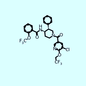 O=C(N[C@@H]1CCN(C(=O)c2cnc(OCC(F)(F)F)c(Cl)c2)C[C@@H]1c1ccccc1)c1ccccc1OC(F)(F)F